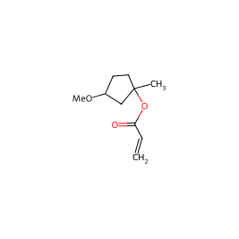 C=CC(=O)OC1(C)CCC(OC)C1